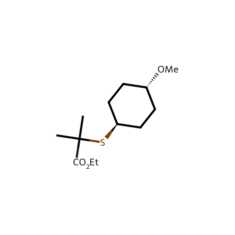 CCOC(=O)C(C)(C)S[C@H]1CC[C@H](OC)CC1